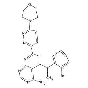 CC(c1ccccc1Br)c1cc(-c2ccc(N3CCOCC3)nn2)nc2ncnc(N)c12